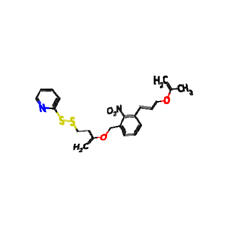 C=C(C)OC/C=C/c1cccc(COC(=C)CCSSc2ccccn2)c1[N+](=O)[O-]